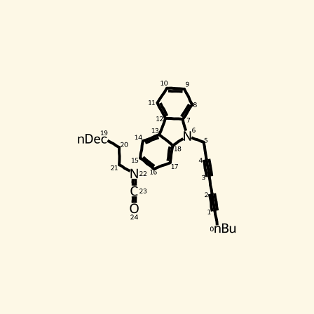 CCCCC#CC#CCn1c2ccccc2c2ccccc21.CCCCCCCCCCCCN=C=O